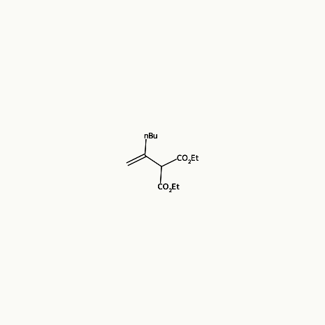 C=C(CCCC)C(C(=O)OCC)C(=O)OCC